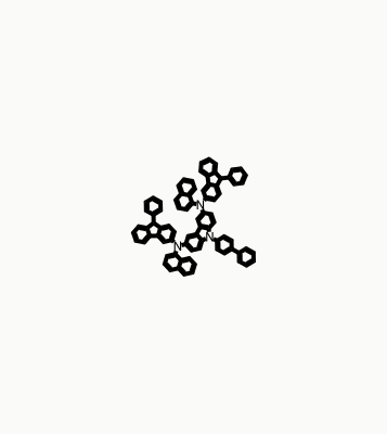 c1ccc(-c2ccc(-n3c4ccc(N(c5ccc6c(c5)-c5ccccc5C6c5ccccc5)c5cccc6ccccc56)cc4c4cc(N(c5ccc6c(c5)-c5ccccc5C6c5ccccc5)c5cccc6ccccc56)ccc43)cc2)cc1